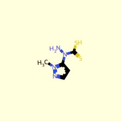 Cn1nccc1N(N)C(=S)S